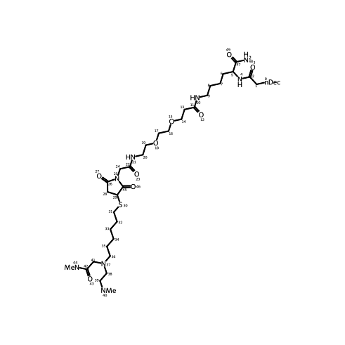 CCCCCCCCCCCC(=O)NC(CCCCNC(=O)CCOCCOCCNC(=O)CN1C(=O)CC(SCCCCCCN(CCNC)CC(=O)NC)C1=O)C(N)=O